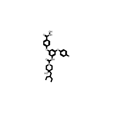 CCC(CC)CC1(O)CCN(C(=O)Nc2cc(Oc3ccc(F)cc3)cc(Oc3ccc(C(=O)NO)cc3)c2)CC1